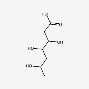 CC(O)CC(O)C(O)CC(=O)O